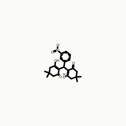 CC1(C)CC(=O)C(C(C2=C(O)CC(C)(C)CC2=O)c2cccc([N+](=O)[O-])c2)=C(O)C1